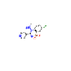 CNN1C(c2ccncc2)=NS(=O)(=O)c2cc(F)ccc21